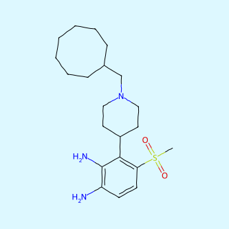 CS(=O)(=O)c1ccc(N)c(N)c1C1CCN(CC2CCCCCCC2)CC1